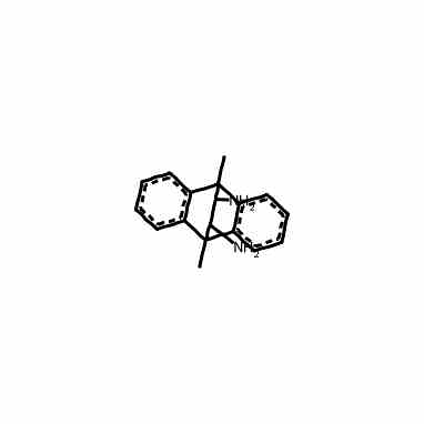 CC12c3ccccc3C(C)(c3ccccc31)C(N)C2N